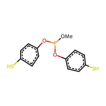 COP(Oc1ccc(S)cc1)Oc1ccc(S)cc1